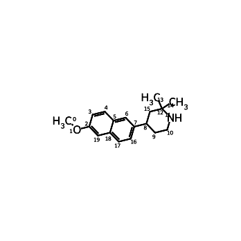 COc1ccc2cc(C3CCNC(C)(C)C3)ccc2c1